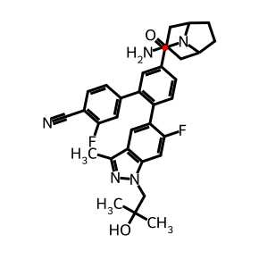 Cc1nn(CC(C)(C)O)c2cc(F)c(-c3ccc(C(=O)N4C5CCC4CC(N)C5)cc3-c3ccc(C#N)c(F)c3)cc12